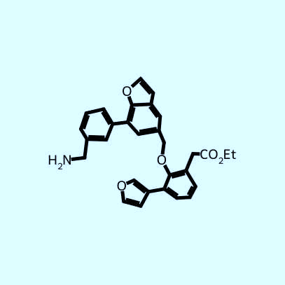 CCOC(=O)Cc1cccc(-c2ccoc2)c1OCc1cc(-c2cccc(CN)c2)c2occc2c1